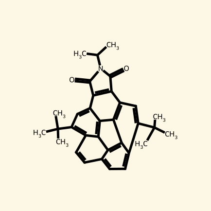 CC(C)n1c(=O)c2c3cc(C(C)(C)C)c4ccc5ccc6c(C(C)(C)C)cc(c2c1=O)c1c6c5c4c31